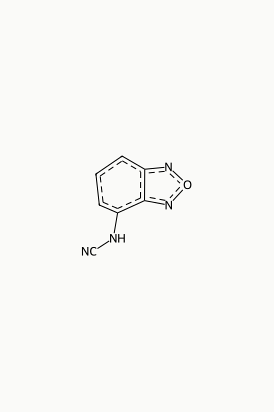 N#CNc1cccc2nonc12